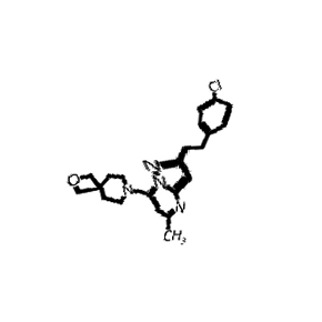 Cc1cc(N2CCC3(CC2)COC3)n2nc(CCc3ccc(Cl)cc3)cc2n1